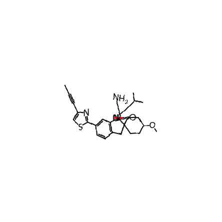 CC#Cc1csc(-c2ccc3c(c2)C2(N=C(N)N(C(C)C)C2=O)C2(CCC(OC)CC2)C3)n1